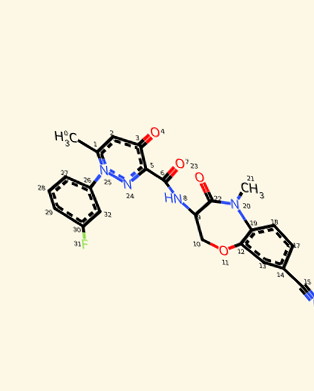 Cc1cc(=O)c(C(=O)NC2COc3cc(C#N)ccc3N(C)C2=O)nn1-c1cccc(F)c1